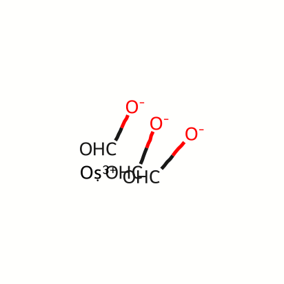 O=C[O-].O=C[O-].O=C[O-].[Os+3]